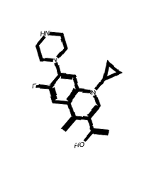 C=C(O)C1=CN(C2CC2)c2cc(N3CCNCC3)c(F)cc2C1=C